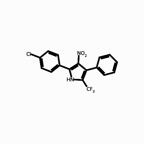 O=[N+]([O-])c1c(-c2ccc(Cl)cc2)[nH]c(C(F)(F)F)c1-c1ccccc1